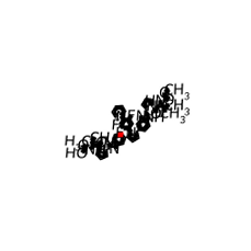 COC(=O)NC(C(=O)N1CCC[C@H]1c1nc2cc([C@H]3CC[C@H](c4ccc5[nH]c([C@@H]6CCCN6C(=O)C(NC(=O)O)C(C)C)nc5c4)N3c3cc(F)c(N4CCCCC4)c(F)c3F)ccc2[nH]1)C(C)C